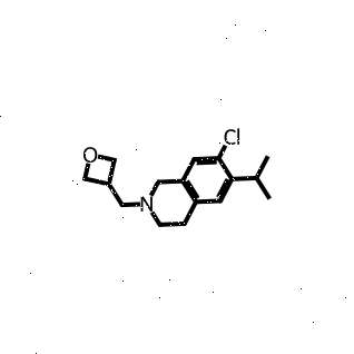 CC(C)c1cc2c(cc1Cl)CN(CC1COC1)CC2